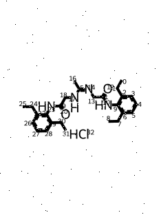 CCc1cccc(CC)c1NC(=O)CN=C(C)NCC(=O)Nc1c(CC)cccc1CC.Cl